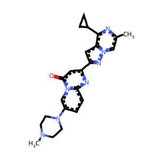 Cc1cn2nc(-c3cc(=O)n4cc(N5CCN(C)CC5)ccc4n3)cc2c(C2CC2)n1